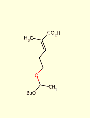 CC(=CCCOC(C)OCC(C)C)C(=O)O